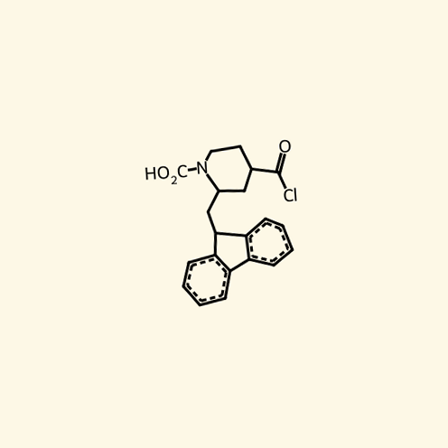 O=C(Cl)C1CCN(C(=O)O)C(CC2c3ccccc3-c3ccccc32)C1